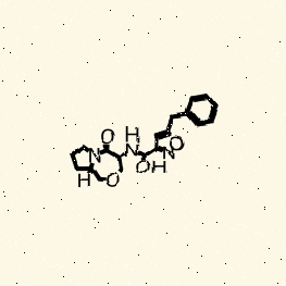 O=C1[C@@H](NC(O)c2cc(Cc3ccccc3)on2)COC[C@@H]2CCCN12